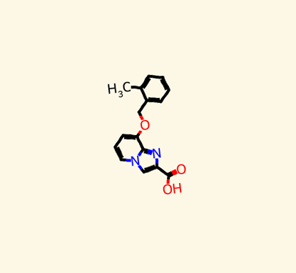 Cc1ccccc1COc1cccn2cc(C(=O)O)nc12